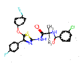 CC(C)(NC(=O)c1cccc(Cl)c1)C(=O)Nc1nc(-c2ccc(F)cc2)c(Oc2ccc(F)cc2)s1